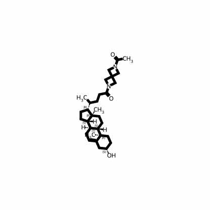 CC(=O)N1CC2(C1)CN(C(=O)CCC(C)[C@H]1CC[C@H]3[C@@H]4CC=C5C[C@@H](O)CC[C@]5(C)[C@H]4CC[C@]13C)C2